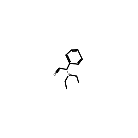 CCN(CC)[C@H](C=O)c1ccccc1